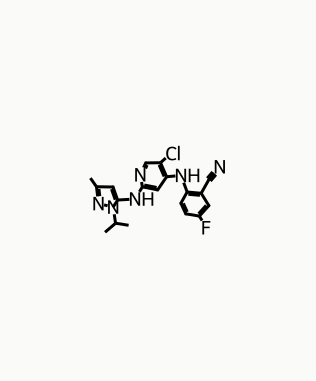 Cc1cc(Nc2cc(Nc3ccc(F)cc3C#N)c(Cl)cn2)n(C(C)C)n1